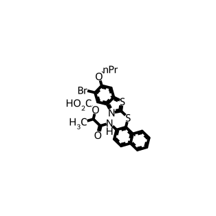 CCCOc1cc2sc(Sc3c(NC(=O)C(C)OC(=O)O)ccc4ccccc34)nc2cc1Br